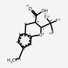 CCc1ccc2c(c1)OC(C(F)(F)F)C(C(=O)O)C2